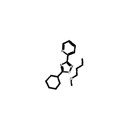 CCCCOC.c1ccc(-c2noc(C3CCCCC3)n2)nc1